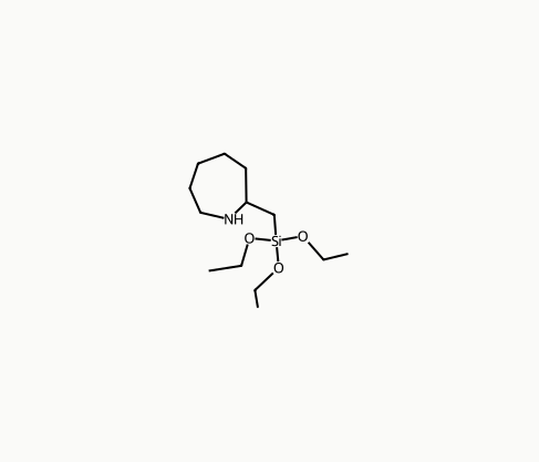 CCO[Si](CC1CCCCCN1)(OCC)OCC